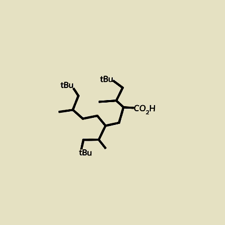 CC(CCC(CC(C(=O)O)C(C)CC(C)(C)C)C(C)CC(C)(C)C)CC(C)(C)C